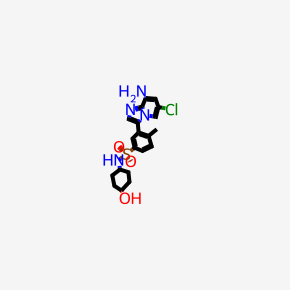 Cc1ccc(S(=O)(=O)NC2CCC(O)CC2)cc1-c1cnc2c(N)cc(Cl)cn12